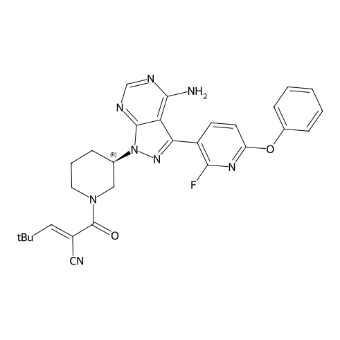 CC(C)(C)C=C(C#N)C(=O)N1CCC[C@@H](n2nc(-c3ccc(Oc4ccccc4)nc3F)c3c(N)ncnc32)C1